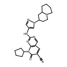 N#Cc1cc2cnc(Nc3cnn(C4CCN5CCCCC5C4)c3)nc2n(C2CCCC2)c1=O